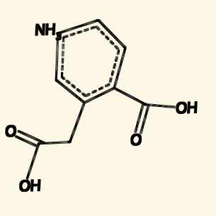 N.O=C(O)Cc1ccccc1C(=O)O